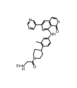 CCNCC(=O)N1CCC(c2ccc(Nc3nc(-c4cncnc4)cc4c3C(=O)[N]C=C4)cc2C)CC1